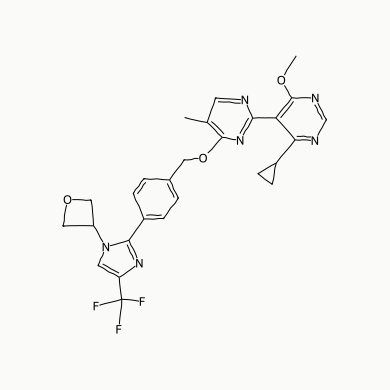 COc1ncnc(C2CC2)c1-c1ncc(C)c(OCc2ccc(-c3nc(C(F)(F)F)cn3C3COC3)cc2)n1